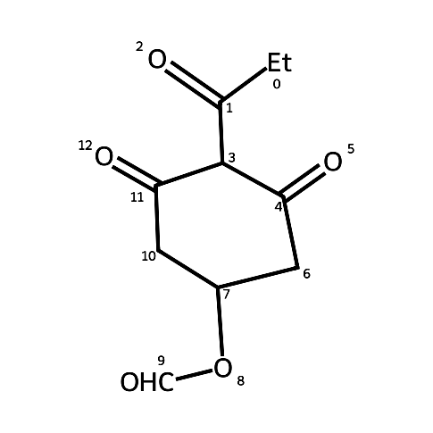 CCC(=O)C1C(=O)CC(OC=O)CC1=O